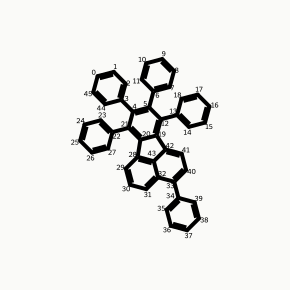 c1ccc(-c2c(-c3ccccc3)c(-c3ccccc3)c3c(c2-c2ccccc2)-c2cccc4c(-c5ccccc5)ccc-3c24)cc1